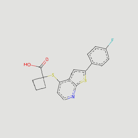 O=C(O)C1(Sc2ccnc3sc(-c4ccc(F)cc4)cc23)CCC1